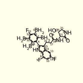 Bc1c(B)c(-c2[nH]c3c(F)cc(F)cc3c2CCC(=O)N[C@@H]2C(=O)NC[C@H]2O)c(B)c(B)c1F